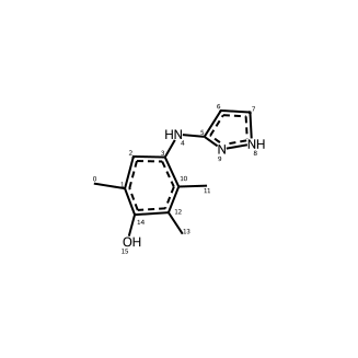 Cc1cc(Nc2cc[nH]n2)c(C)c(C)c1O